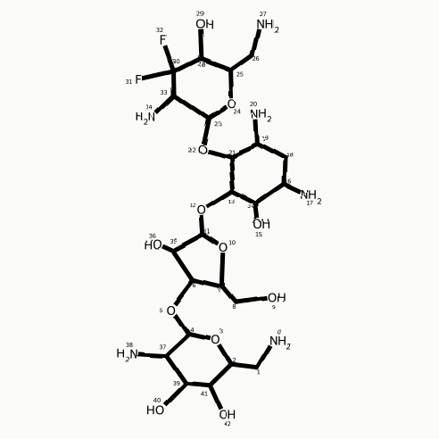 NCC1OC(OC2C(CO)OC(OC3C(O)C(N)CC(N)C3OC3OC(CN)C(O)C(F)(F)C3N)C2O)C(N)C(O)C1O